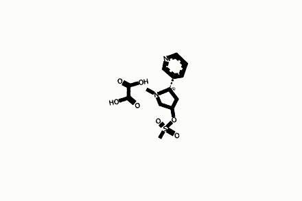 CN1CC(OS(C)(=O)=O)C[C@H]1c1cccnc1.O=C(O)C(=O)O